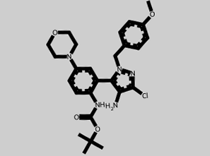 COc1ccc(Cn2nc(Cl)c(N)c2-c2cc(N3CCOCC3)ccc2NC(=O)OC(C)(C)C)cc1